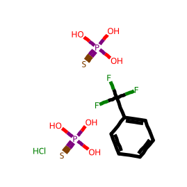 Cl.FC(F)(F)c1ccccc1.OP(O)(O)=S.OP(O)(O)=S